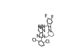 Fc1ccc(CNc2ncc3nc(-c4c(Cl)cccc4Cl)n(CC4CCCNC4)c3n2)cc1F